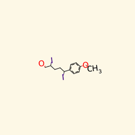 COc1ccc(C(I)CCC(I)C=O)cc1